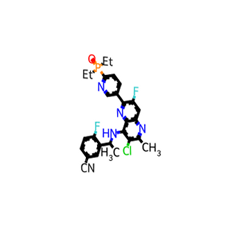 CCP(=O)(CC)c1ccc(-c2nc3c(NC(C)c4cc(C#N)ccc4F)c(Cl)c(C)nc3cc2F)cn1